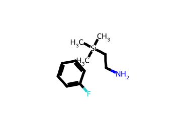 C[Si](C)(C)CCN.Fc1ccccc1